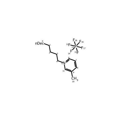 CCCCCCCCCCCCCC[n+]1cccc(C)c1.F[P-](F)(F)(F)(F)F